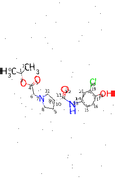 CC(C)OC(=O)CN1CC[C@@H](C(=O)Nc2ccc(O)c(Cl)c2)C1